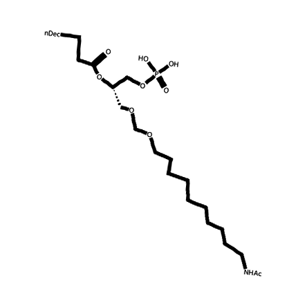 CCCCCCCCCCCCC(=O)O[C@@H](COCOCCCCCCCCCCNC(C)=O)COP(=O)(O)O